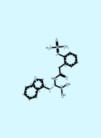 CS(C)(=O)=Nc1ccccc1CC(=O)N[C@@H](Cc1coc2ccccc12)B(O)O